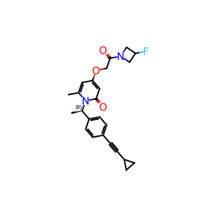 Cc1cc(OCC(=O)N2CC(F)C2)cc(=O)n1[C@H](C)c1ccc(C#CC2CC2)cc1